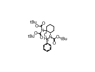 CC(C)(C)OC(=O)N(Cc1ccccc1)[C@@H]1CCCC[C@@]1(C)N(C(=O)OC(C)(C)C)C(=O)OC(C)(C)C